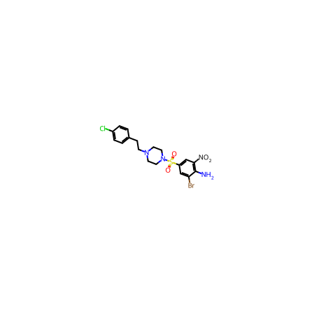 Nc1c(Br)cc(S(=O)(=O)N2CCN(CCc3ccc(Cl)cc3)CC2)cc1[N+](=O)[O-]